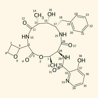 C[C@H]1OC(=O)C(C2CCO2)NC(=O)[C@H](C)[C@H](O)[C@H](Cc2ccccc2)NC(=O)[C@H]1NC(=O)c1ncccc1O